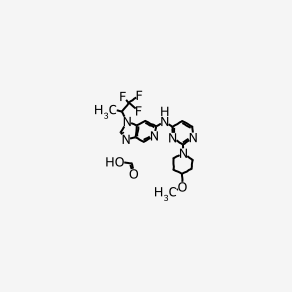 COC1CCN(c2nccc(Nc3cc4c(cn3)ncn4C(C)C(F)(F)F)n2)CC1.O=CO